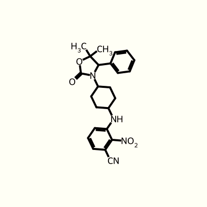 CC1(C)OC(=O)N(C2CCC(Nc3cccc(C#N)c3[N+](=O)[O-])CC2)C1c1ccccc1